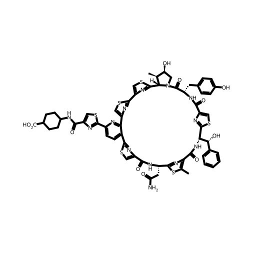 Cc1sc2nc1C(=O)N[C@@H]([C@H](O)c1ccccc1)c1nc(cs1)C(=O)N[C@@H](Cc1ccc(O)cc1)C(=O)N1C[C@H](O)[C@H](C)[C@H]1c1nc(cs1)-c1nc(cs1)-c1nc(-c3nc(C(=O)NC4CCC(C(=O)O)CC4)cs3)ccc1-c1nc(cs1)C(=O)N[C@H]2CC(N)=O